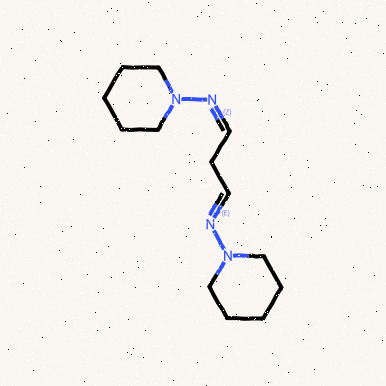 C(/C/C=N/N1CCCCC1)=N/N1CCCCC1